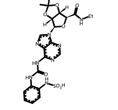 CCNC(=O)[C@H]1O[C@@H](n2cnc3c(NC(=O)Nc4ccccc4NS(=O)(=O)O)ncnc32)[C@@H]2OC(C)(C)O[C@@H]21